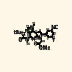 [C-]#[N+]c1cc(F)cc(-c2cc3c4c(ncn4C)c(N(C)C(=O)OC(C)(C)C)nc3n2CC(=O)OC)c1